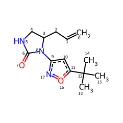 C=CCC1CNC(=O)N1c1cc(C(C)(C)C)on1